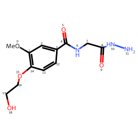 COc1cc(C(=O)NCC(=O)NN)ccc1OCCO